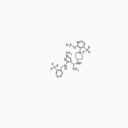 COc1nccc(C(F)(F)F)c1N1CCC(NC(C)c2cn(C)nc2NCc2ccccc2C(F)(F)F)CC1